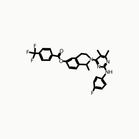 Cc1nc(Nc2ccc(F)cc2)nc(N2CCc3cc(OC(=O)c4ccc(C(F)(F)F)cc4)ccc3C2C)c1C